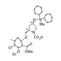 CCOc1c(Cl)c(C)cc(OC[C@H]2C[C@@H](O[Si](c3ccccc3)(c3ccccc3)C(C)(C)C)CN2C(=O)O)c1C(=O)OC